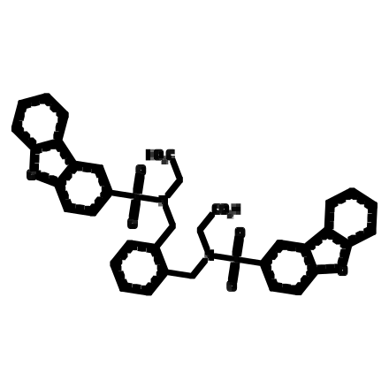 O=C(O)CN(Cc1ccccc1CN(CC(=O)O)S(=O)(=O)c1ccc2oc3ccccc3c2c1)S(=O)(=O)c1ccc2oc3ccccc3c2c1